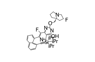 CC(C)[Si](C#Cc1cccc2cccc(-c3ncc4c(O)nc(OC[C@@]56CCCN5C[C@H](F)C6)nc4c3F)c12)(C(C)C)C(C)C